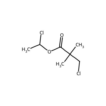 CC(Cl)OC(=O)C(C)(C)CCl